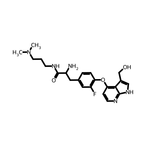 CN(C)CCCNC(=O)C(N)Cc1ccc(Oc2ccnc3[nH]cc(CO)c23)c(F)c1